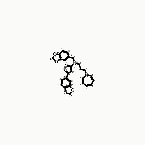 C1=CC=CN(CCCN(Cc2ccc3c(c2)OCO3)c2cc(-c3ccc4c(c3)OCO4)no2)C=C1